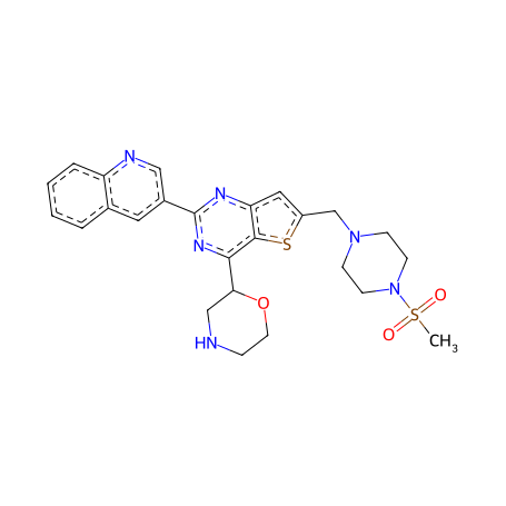 CS(=O)(=O)N1CCN(Cc2cc3nc(-c4cnc5ccccc5c4)nc(C4CNCCO4)c3s2)CC1